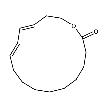 O=C1CCCCCCCC/C=C/C=C/CCO1